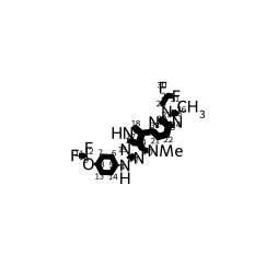 CNc1nc(N[C@H]2CC[C@H](OC(F)F)CC2)nc2[nH]cc(-c3ccc4nc(C)n(CC(F)F)c4n3)c12